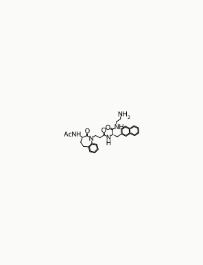 CC(=O)NC1CCc2ccccc2N(CCC(=O)N[C@H](Cc2ccc3ccccc3c2)C(=O)NCCN)C1=O